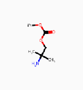 CC(C)OC(=O)OCC(C)(C)N